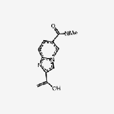 C=C(O)c1cn2cc(C(=O)NC)ccc2n1